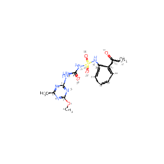 COc1nc(C)nc(NC(=O)NS(=O)(=O)Nc2ccccc2C(C)=O)n1